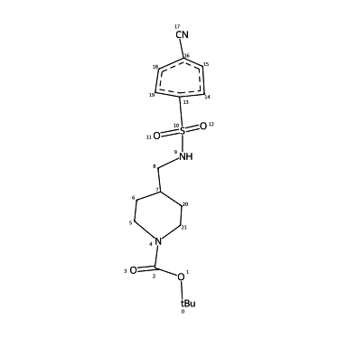 CC(C)(C)OC(=O)N1CCC(CNS(=O)(=O)c2ccc(C#N)cc2)CC1